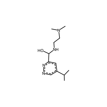 CC(C)c1cnnc(C(O)NCCN(C)C)c1